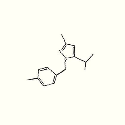 Cc1ccc(Cn2nc(C)cc2C(C)C)cc1